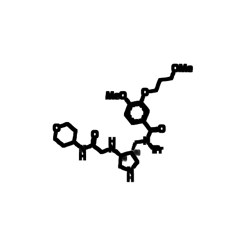 COCCCOc1cc(C(=O)N(C[C@@H]2CNC[C@H]2NCC(=O)NC2CCOCC2)C(C)C)ccc1OC